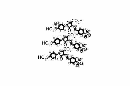 O=C(O)C1=NN(c2ccc(S(=O)(=O)O)cc2)C(=O)C1N=Nc1ccc(S(=O)(=O)[O-])cc1.O=C(O)C1=NN(c2ccc(S(=O)(=O)O)cc2)C(=O)C1N=Nc1ccc(S(=O)(=O)[O-])cc1.O=C(O)C1=NN(c2ccc(S(=O)(=O)O)cc2)C(=O)C1N=Nc1ccc(S(=O)(=O)[O-])cc1.[Al+3]